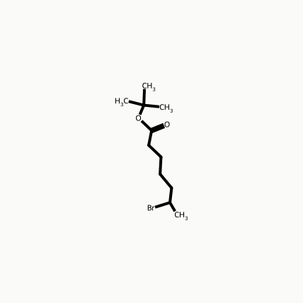 CC(Br)CCCCC(=O)OC(C)(C)C